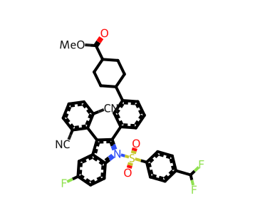 COC(=O)C1CCC(c2cccc(-c3c(-c4c(C#N)cccc4C#N)c4cc(F)ccc4n3S(=O)(=O)c3ccc(C(F)F)cc3)c2)CC1